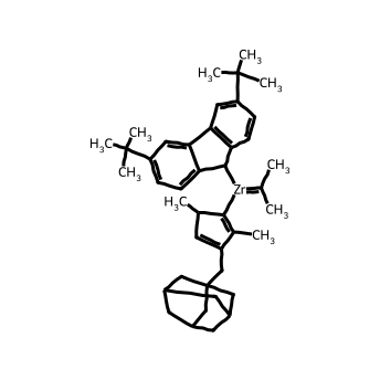 CC1=[C]([Zr](=[C](C)C)[CH]2c3ccc(C(C)(C)C)cc3-c3cc(C(C)(C)C)ccc32)C(C)C=C1CC12CC3CC(CC(C3)C1)C2